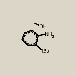 CC(C)(C)c1ccccc1N.CO